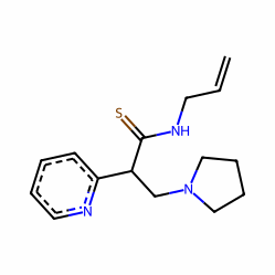 C=CCNC(=S)C(CN1CCCC1)c1ccccn1